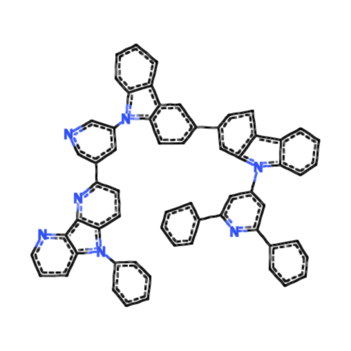 c1ccc(-c2cc(-n3c4ccccc4c4ccc(-c5ccc6c(c5)c5ccccc5n6-c5cncc(-c6ccc7c(n6)c6ncccc6n7-c6ccccc6)c5)cc43)cc(-c3ccccc3)n2)cc1